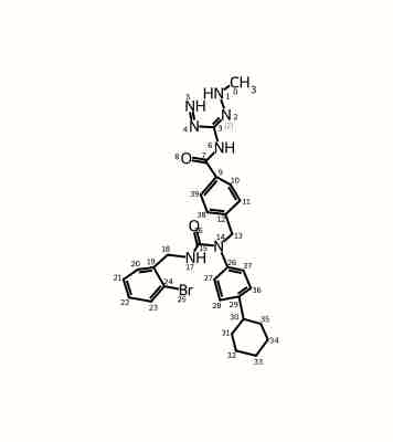 CN/N=C(\N=N)NC(=O)c1ccc(CN(C(=O)NCc2ccccc2Br)c2ccc(C3CCCCC3)cc2)cc1